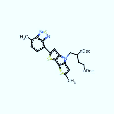 CCCCCCCCCCCCC(CCCCCCCCCC)Cn1c2cc(C)sc2c2sc(-c3ccc(C)c4nsnc34)cc21